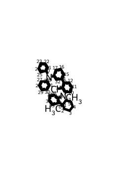 CC12CCCCC1(C)N(c1cccc(-c3cccc(N(c4ccccc4)c4ccccc4)c3)c1Cl)c1ccccc12